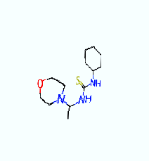 CC(NC(=S)NC1CCCCC1)N1CCOCC1